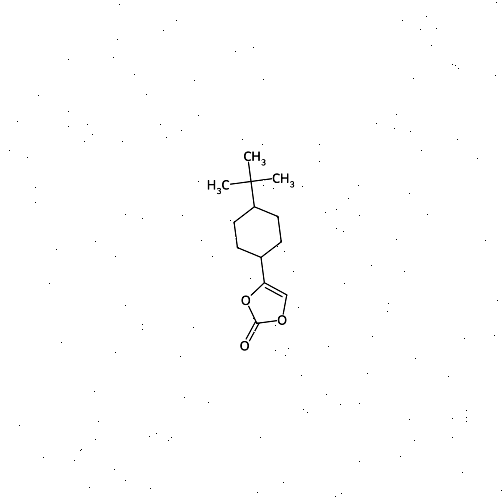 CC(C)(C)C1CCC(c2coc(=O)o2)CC1